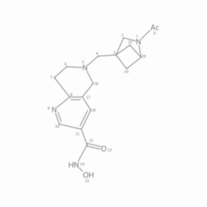 CC(=O)N1CC2(CN3CCc4ncc(C(=O)NO)cc4C3)CC1C2